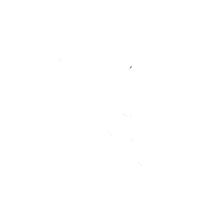 CSCCN1CCC(c2c(C)cc(Nc3ncc(Cl)c(Nc4ccccc4S(=O)(=O)C(C)C)n3)c3c2C[C@@H](C)O3)CC1